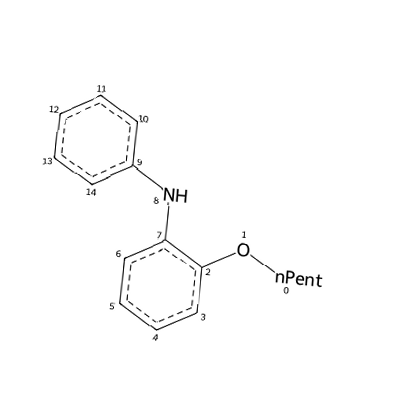 CCCCCOc1ccccc1Nc1ccccc1